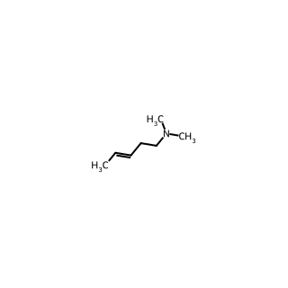 CC=CCCN(C)C